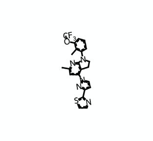 Cc1cc(-n2ccc(-c3nccs3)n2)c2c(n1)N(c1cccc(OC(F)(F)F)c1C)CC2